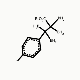 BC(B)(C(=O)OCC)C(B)(B)c1ccc(F)cc1